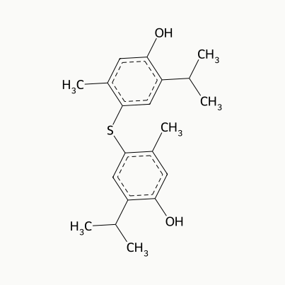 Cc1cc(O)c(C(C)C)cc1Sc1cc(C(C)C)c(O)cc1C